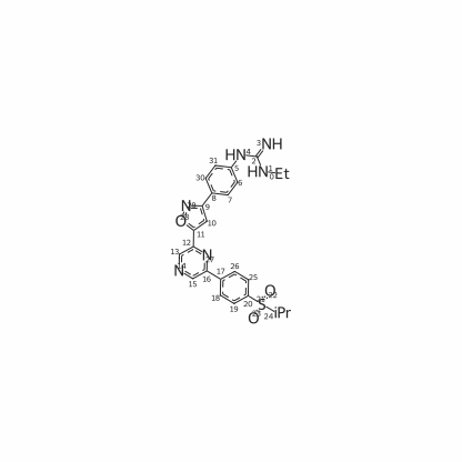 CCNC(=N)Nc1ccc(-c2cc(-c3[c]ncc(-c4ccc(S(=O)(=O)C(C)C)cc4)n3)on2)cc1